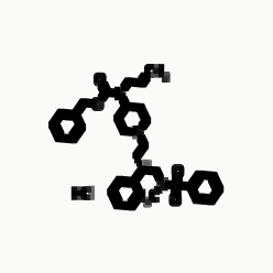 C=CCN(C(=O)OCc1ccccc1)C1CCN(CC[C@H](CN(C)S(=O)(=O)c2ccccc2)c2ccccc2)CC1.Cl